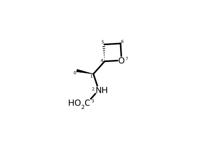 C[C@H](NC(=O)O)[C@@H]1CCO1